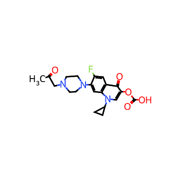 CC(=O)CN1CCN(c2cc3c(cc2F)c(=O)c(OC(=O)O)cn3C2CC2)CC1